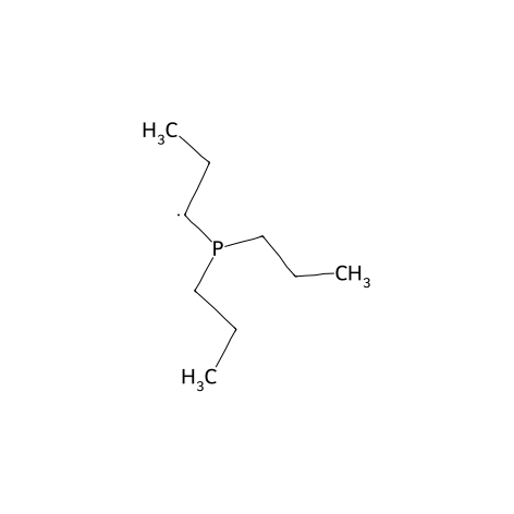 CC[CH]P(CCC)CCC